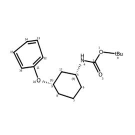 CC(C)(C)OC(=O)N[C@@H]1CCC[C@H](Oc2ccccc2)C1